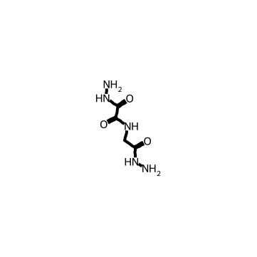 NNC(=O)CNC(=O)C(=O)NN